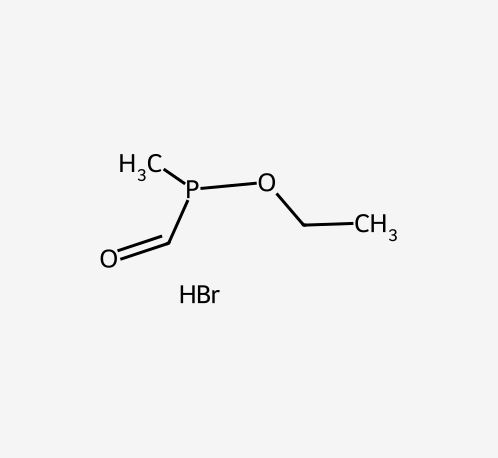 Br.CCOP(C)C=O